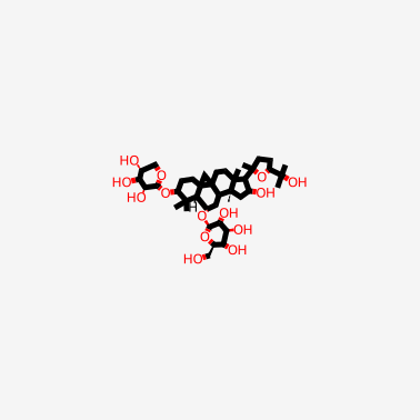 CC(C)(O)C1CCC(C)(C2C(O)C[C@@]3(C)C4CC(O[C@@H]5O[C@H](CO)C(O)[C@H](O)C5O)[C@H]5C(C)(C)C(OC6OC[C@@H](O)C(O)[C@H]6O)CCC56CC46CCC23C)O1